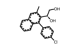 Cc1cc2ccccc2c(-c2ccc(Cl)cc2)c1[C@H](O)CO